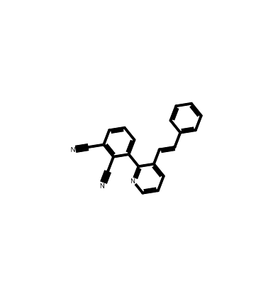 N#Cc1cccc(-c2ncccc2C=Cc2ccccc2)c1C#N